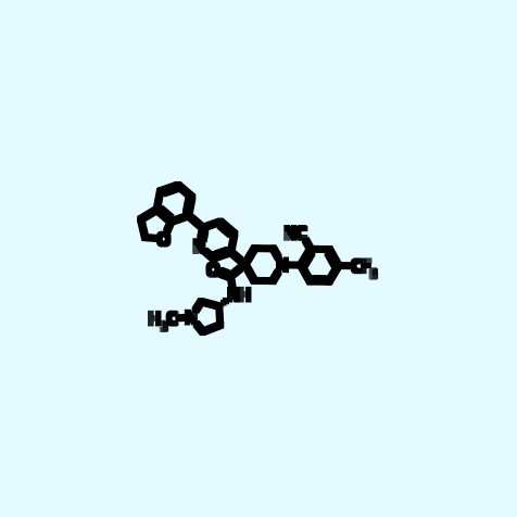 CN1CC[C@@H](NC(=O)C2(c3ccc(-c4cccc5c4OCC5)nc3)CCN(c3ccc(C(F)(F)F)cc3C#N)CC2)C1